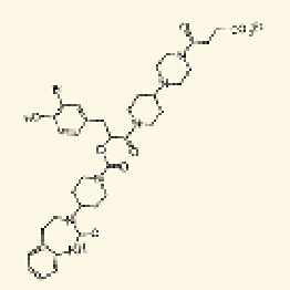 CCOC(=O)CCC(=O)N1CCN(C2CCN(C(=O)C(Cc3ccc(O)c(Br)c3)OC(=O)N3CCC(N4CCc5ccccc5NC4=O)CC3)CC2)CC1